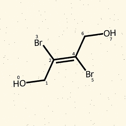 OCC(Br)=C(Br)CO